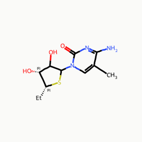 CC[C@H]1SC(n2cc(C)c(N)nc2=O)C(O)[C@H]1O